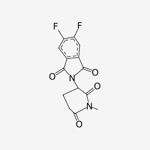 CN1C(=O)CCC(N2C(=O)c3cc(F)c(F)cc3C2=O)C1=O